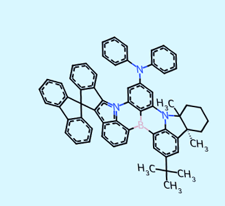 CC(C)(C)c1cc2c3c(c1)[C@]1(C)CCCCC1(C)N3c1cc(N(c3ccccc3)c3ccccc3)cc3c1B2c1cccc2c4c(n-3c12)-c1ccccc1C41c2ccccc2-c2ccccc21